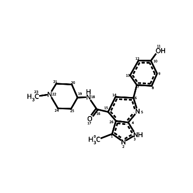 Cc1n[nH]c2nc(-c3ccc(O)cc3)cc(C(=O)NC3CCN(C)CC3)c12